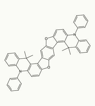 CC1(C)c2ccccc2N(c2ccccc2)c2ccc3oc4cc5c(cc4c3c21)oc1ccc2c(c15)C(C)(C)c1ccccc1N2c1ccccc1